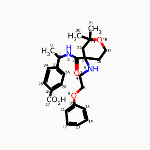 CC(NC(=O)C1(NCCOc2ccccc2)CCOC(C)(C)C1)c1ccc(C(=O)O)cc1